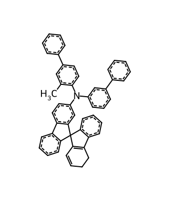 Cc1cc(-c2ccccc2)ccc1N(c1cccc(-c2ccccc2)c1)c1ccc2c(c1)C1(C3=C(CCC=C3)c3ccccc31)c1ccccc1-2